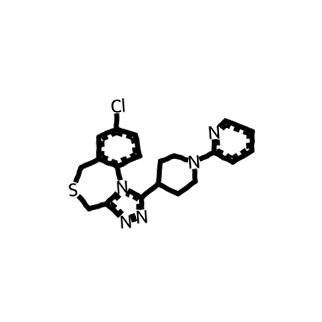 Clc1ccc2c(c1)CSCc1nnc(C3CCN(c4ccccn4)CC3)n1-2